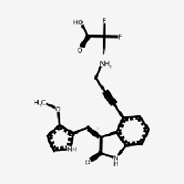 COc1cc[nH]c1/C=C1\C(=O)Nc2cccc(C#CCN)c21.O=C(O)C(F)(F)F